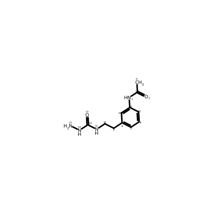 CC(=O)Nc1[c]ccc(CCNC(=O)NN)c1